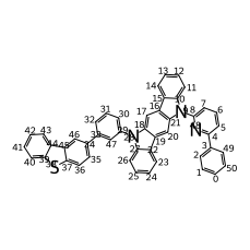 c1ccc(-c2cccc(-n3c4ccccc4c4cc5c(cc43)c3ccccc3n5-c3cccc(-c4ccc5sc6ccccc6c5c4)c3)n2)cc1